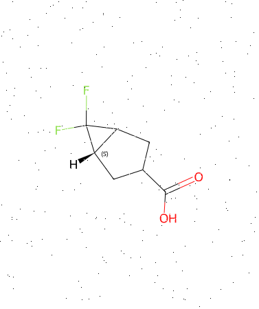 O=C(O)C1CC2[C@H](C1)C2(F)F